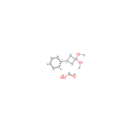 COC1(OC)CC(c2ccccc2)C1.O=CO